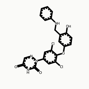 O=c1cnn(-c2cc(Cl)c(Oc3ccc(O)c(CNc4ccccc4)c3)c(Cl)c2)c(=O)[nH]1